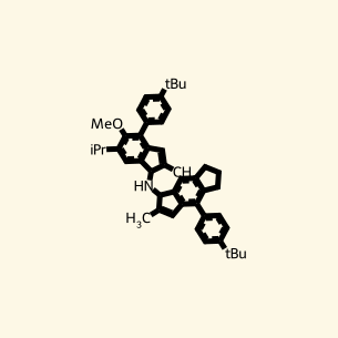 COc1c(C(C)C)cc2c(c1-c1ccc(C(C)(C)C)cc1)C=C(C)C2NC1C(C)=Cc2c1cc1c(c2-c2ccc(C(C)(C)C)cc2)CCC1